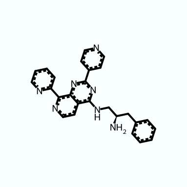 N[C@@H](CNc1nc(-c2ccncc2)nc2c(-c3ccccn3)nccc12)Cc1ccccc1